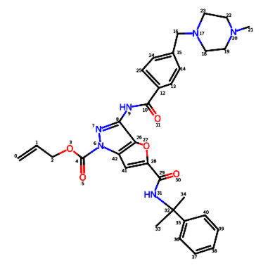 C=CCOC(=O)n1nc(NC(=O)c2ccc(CN3CCN(C)CC3)cc2)c2oc(C(=O)NC(C)(C)c3ccccc3)cc21